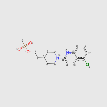 CS(=O)(=O)OCCC1CCN(c2ccc3c(Cl)cccc3n2)CC1